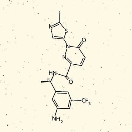 Cc1ncc(-n2nc(C(=O)N[C@H](C)c3cc(N)cc(C(F)(F)F)c3)ccc2=O)s1